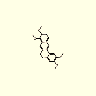 COc1cc2c(cc1OC)-c1cc3ccc(OC)c(OC)c3cc1CC2